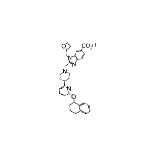 O=C(O)c1ccc2nc(CN3CCC(c4cccc(OC5CCCc6ccccc65)n4)CC3)n(CC3CCO3)c2c1